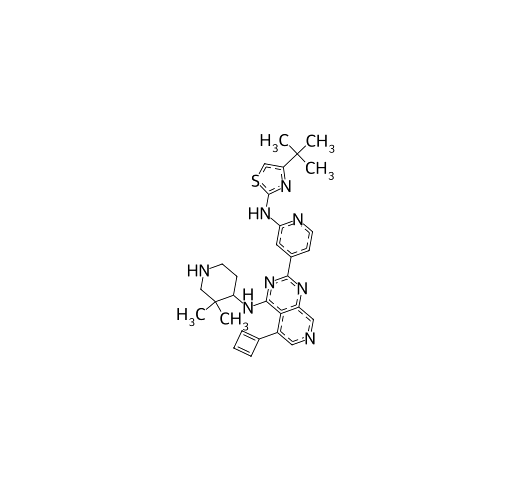 CC(C)(C)c1csc(Nc2cc(-c3nc(NC4CCNCC4(C)C)c4c(C5=CC=C5)cncc4n3)ccn2)n1